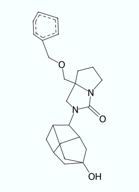 O=C1N(C2C3CC4CC2CC(O)(C4)C3)CC2(COCc3ccccc3)CCCN12